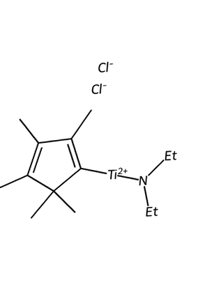 CC[N](CC)[Ti+2][C]1=C(C)C(C)=C(C)C1(C)C.[Cl-].[Cl-]